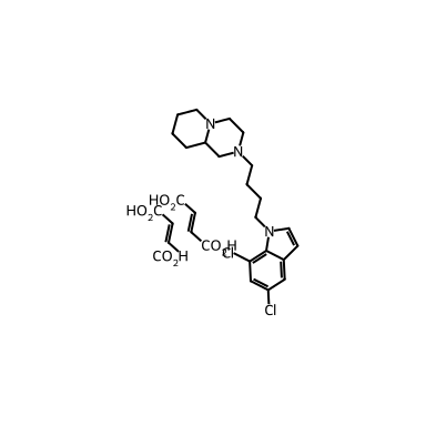 Clc1cc(Cl)c2c(ccn2CCCCN2CCN3CCCCC3C2)c1.O=C(O)C=CC(=O)O.O=C(O)C=CC(=O)O